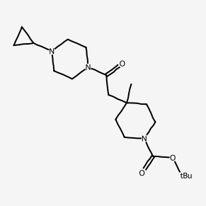 CC1(CC(=O)N2CCN(C3CC3)CC2)CCN(C(=O)OC(C)(C)C)CC1